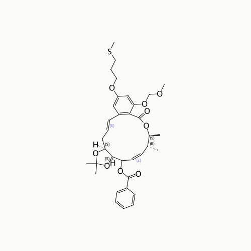 COCOc1cc(OCCCSC)cc2c1C(=O)O[C@@H](C)[C@H](C)/C=C\C(OC(=O)c1ccccc1)[C@H]1OC(C)(C)O[C@H]1C/C=C/2